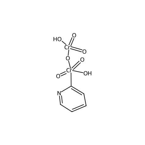 [O]=[Cr](=[O])([OH])[O][Cr](=[O])(=[O])([OH])[c]1ccccn1